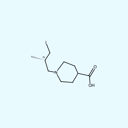 C[C@H](CI)CN1CCC(C(=O)O)CC1